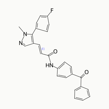 Cn1ncc(/C=C/C(=O)Nc2ccc(C(=O)c3ccccc3)cc2)c1-c1ccc(F)cc1